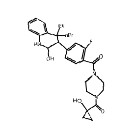 CCCC1(CC)c2ccccc2NC(O)C1c1ccc(C(=O)N2CCN(C(=O)C3(O)CC3)CC2)c(F)c1